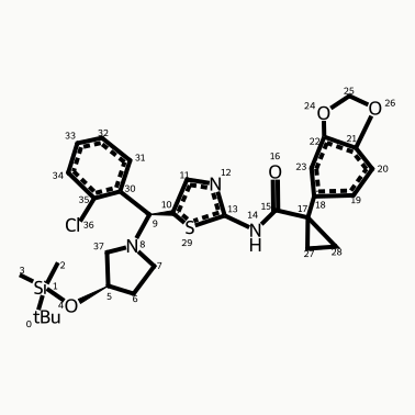 CC(C)(C)[Si](C)(C)O[C@@H]1CCN([C@H](c2cnc(NC(=O)C3(c4ccc5c(c4)OCO5)CC3)s2)c2ccccc2Cl)C1